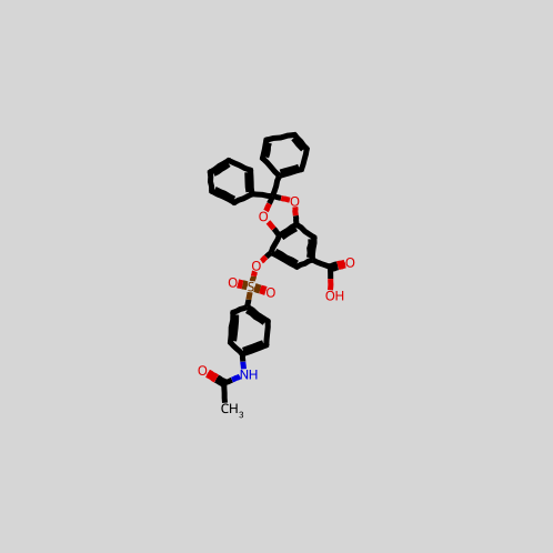 CC(=O)Nc1ccc(S(=O)(=O)Oc2cc(C(=O)O)cc3c2OC(c2ccccc2)(c2ccccc2)O3)cc1